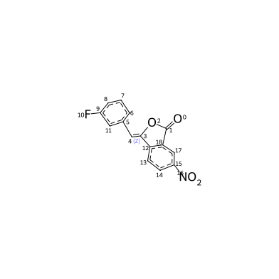 O=C1O/C(=C\c2cccc(F)c2)c2ccc([N+](=O)[O-])cc21